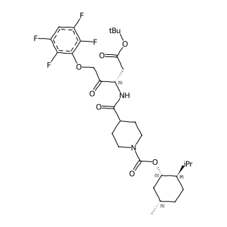 CC(C)[C@H]1CC[C@H](C)C[C@@H]1OC(=O)N1CCC(C(=O)N[C@@H](CC(=O)OC(C)(C)C)C(=O)COc2c(F)c(F)cc(F)c2F)CC1